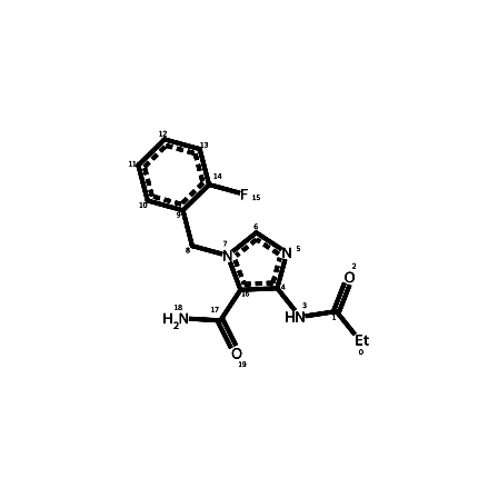 CCC(=O)Nc1ncn(Cc2ccccc2F)c1C(N)=O